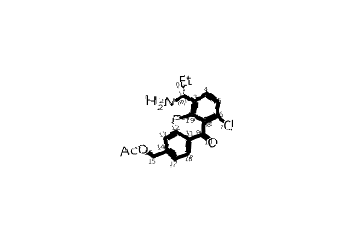 CC[C@@H](N)c1ccc(Cl)c(C(=O)c2ccc(COC(C)=O)cc2)c1F